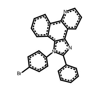 Brc1ccc(-n2c(-c3ccccc3)nc3c4cccnc4c4ccccc4c32)cc1